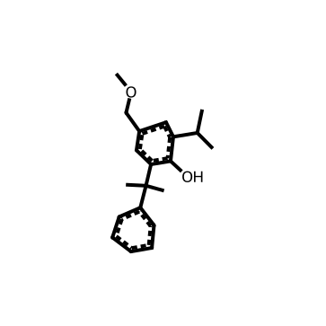 COCc1cc(C(C)C)c(O)c(C(C)(C)c2ccccc2)c1